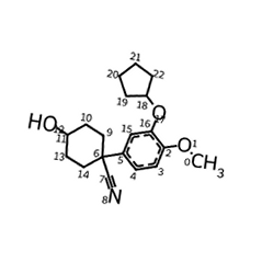 COc1ccc(C2(C#N)CCC(O)CC2)cc1OC1CCCC1